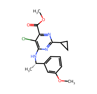 COC(=O)c1nc(C2CC2)nc(N[C@@H](C)c2cccc(OC)c2)c1Cl